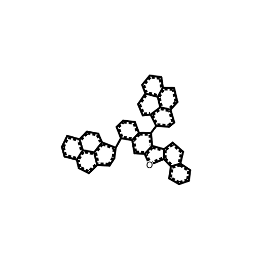 c1ccc2c(c1)ccc1c2oc2cc3c(-c4ccc5ccc6cccc7ccc4c5c67)cccc3c(-c3ccc4ccc5cccc6ccc3c4c56)c21